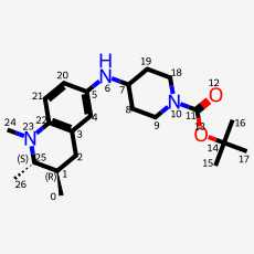 C[C@@H]1Cc2cc(NC3CCN(C(=O)OC(C)(C)C)CC3)ccc2N(C)[C@H]1C